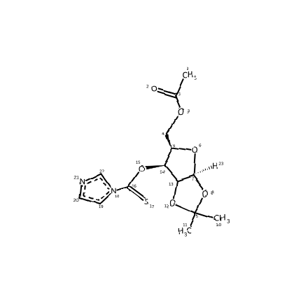 CC(=O)OC[C@H]1O[C@H]2OC(C)(C)OC2[C@H]1OC(=S)n1ccnc1